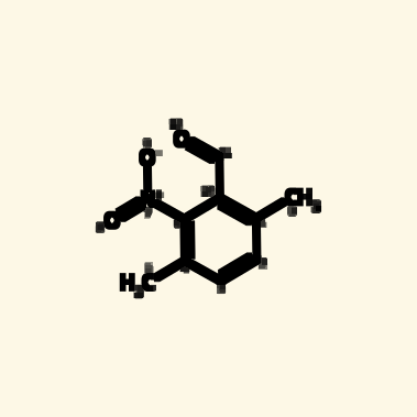 Cc1ccc(C)c([N+](=O)[O-])c1C=O